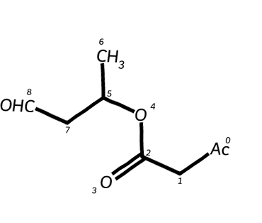 CC(=O)CC(=O)OC(C)CC=O